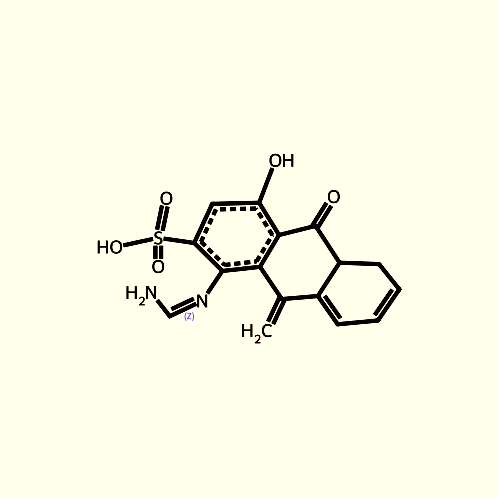 C=C1C2=CC=CCC2C(=O)c2c(O)cc(S(=O)(=O)O)c(/N=C\N)c21